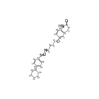 O=C1CCc2cc(OCCCC=NOSc3ccc(C4CCCCC4)cc3)ccc2N1